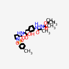 Cc1ccc(S(=O)(=O)N2CCC[C@H]2C(=O)N[C@@H](Cc2ccc(NC(=O)[C@H](C)NC(=O)OC(C)(C)C)cc2)C(=O)O)cc1